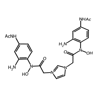 CC(=O)Nc1ccc(N(O)C(=O)Cn2cc[n+](CC(=O)N(O)c3ccc(NC(C)=O)cc3N)c2)c(N)c1